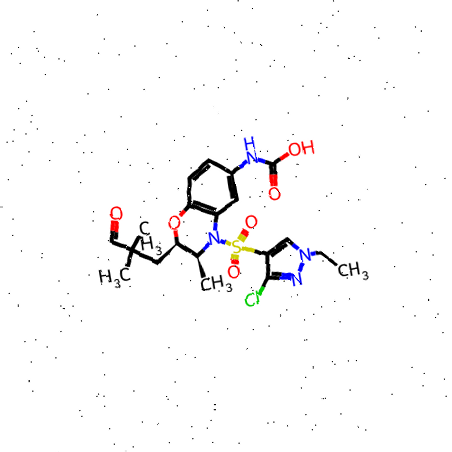 CCn1cc(S(=O)(=O)N2c3cc(NC(=O)O)ccc3O[C@H](CC(C)(C)C=O)[C@@H]2C)c(Cl)n1